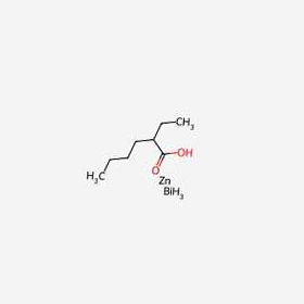 CCCCC(CC)C(=O)O.[BiH3].[Zn]